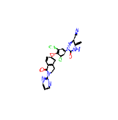 C=C1NC(=O)N(c2cc(Cl)c(Oc3ccc4c(c3)CCN(c3ncccn3)C4=O)c(Cl)c2)N=C1C#N